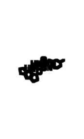 CC1CCn2nc(S(=O)(=O)NC(=O)Nc3c4c(cc5c3CCC5)CCC4)cc2C1